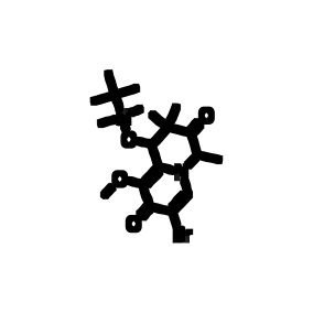 COc1c2n(cc(Br)c1=O)C(C)C(=O)C(C)(C)C2O[Si](C)(C)C(C)(C)C